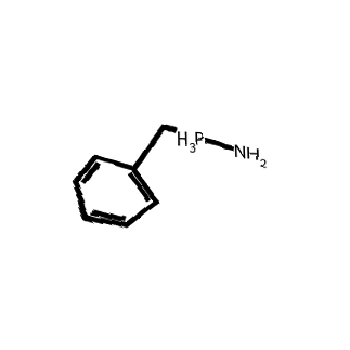 N[PH3]Cc1ccccc1